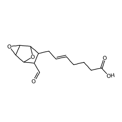 O=CC1C(C/C=C/CCCC(=O)O)C2OC1C1OC21